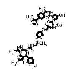 Cc1ncsc1-c1ccc([C@H](C)NC(=O)[C@@H]2C[C@@H](O)CN2C(=O)[C@@H](NC(=O)COc2ccc(O[C@@H](C)CNC(=O)C[C@@H]3N=C(c4ccc(Cl)cc4)c4c(sc(C)c4C)-n4c(C)nnc43)nc2)C(C)(C)C)cc1